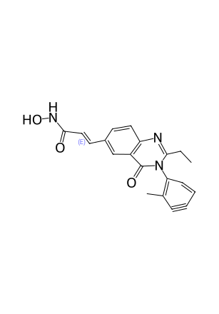 CCc1nc2ccc(/C=C/C(=O)NO)cc2c(=O)n1-c1ccc#cc1C